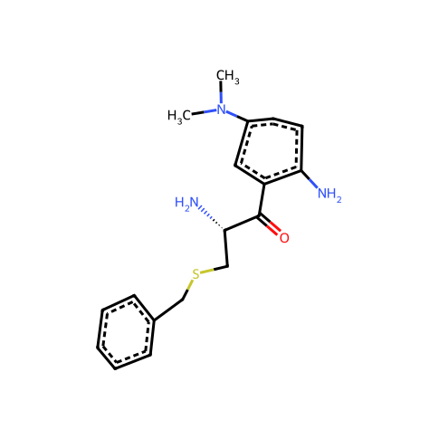 CN(C)c1ccc(N)c(C(=O)[C@@H](N)CSCc2ccccc2)c1